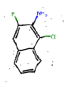 Nc1c(F)cc2ccccc2c1Cl